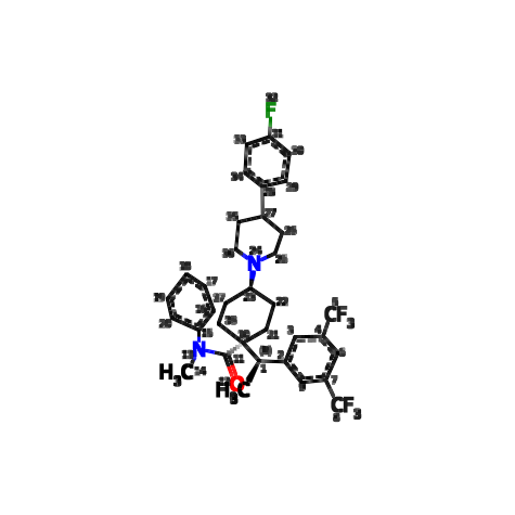 C[C@H](c1cc(C(F)(F)F)cc(C(F)(F)F)c1)[C@]1(C(=O)N(C)c2ccccc2)CC[C@H](N2CCC(c3ccc(F)cc3)CC2)CC1